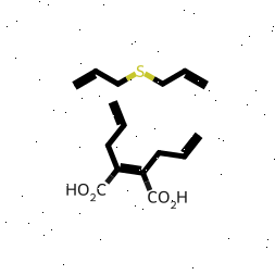 C=CC/C(C(=O)O)=C(\CC=C)C(=O)O.C=CCSCC=C